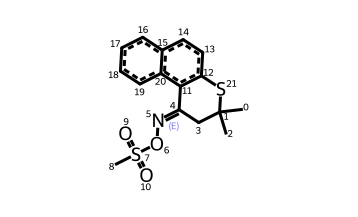 CC1(C)C/C(=N\OS(C)(=O)=O)c2c(ccc3ccccc23)S1